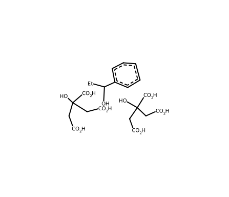 CCC(O)c1ccccc1.O=C(O)CC(O)(CC(=O)O)C(=O)O.O=C(O)CC(O)(CC(=O)O)C(=O)O